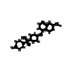 COc1ccc2c(Oc3ccc(S(=N)(=O)N4CCN(C)CC4)cc3)ccnc2c1